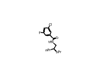 CCCC(CCC)CNC(=O)c1cc(F)cc(Cl)c1